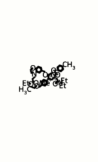 CCOC(C)COCc1ccc([C@H]2C[C@H](CC(=O)N(CC)CC)N(S(=O)(=O)c3ccc(C)cc3)C[C@@H]2OCc2ccc3c(c2)N(CCCOC)CCO3)cc1